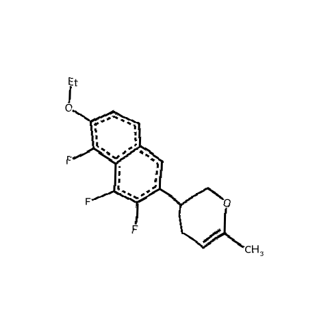 CCOc1ccc2cc(C3CC=C(C)OC3)c(F)c(F)c2c1F